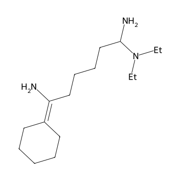 CCN(CC)C(N)CCCCC(N)=C1CCCCC1